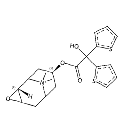 C[N+]1(C)C2CC3O[C@@H]3C1C[C@@H](OC(=O)C(O)(c1cccs1)c1cccs1)C2